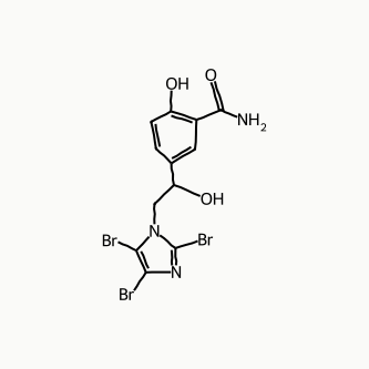 NC(=O)c1cc(C(O)Cn2c(Br)nc(Br)c2Br)ccc1O